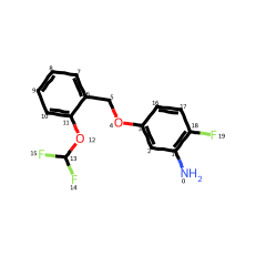 Nc1cc(OCc2ccccc2OC(F)F)ccc1F